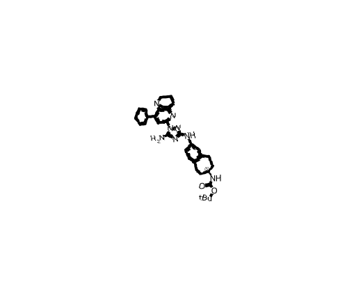 CC(C)(C)OC(=O)N[C@H]1CCc2ccc(Nc3nc(N)n(-c4cc(-c5ccccc5)c5c(n4)C4CCN5CC4)n3)cc2CC1